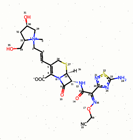 C[N+]1(C/C=C/C2=C(C(=O)[O-])N3C(=O)[C@@H](NC(=O)/C(=N\OCC#N)c4nsc(N)n4)[C@@H]3SC2)C[C@H](O)C[C@@H]1CO